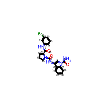 NC(=O)n1cc(NC(=O)N2CCC[C@H]2C(=O)Nc2cccc(Br)c2)c2ccccc21